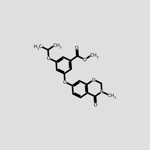 COC(=O)c1cc(Oc2ccc3c(c2)OCN(C)C3=O)cc(OC(C)C)c1